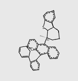 C[C@@]1(c2c3ccccc3c(-c3ccccc3C3=CC=CCC3)c3ccccc23)CCCC2c3ccccc3SC21